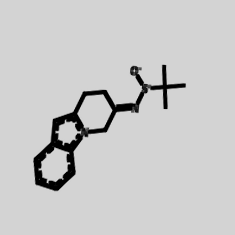 CC(C)(C)[S+]([O-])/N=C1\CCc2cc3ccccc3n2C1